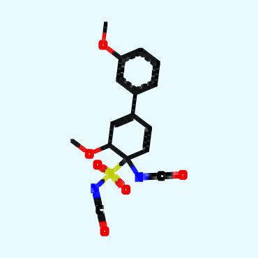 COc1cccc(C2=CC(OC)C(N=C=O)(S(=O)(=O)N=C=O)C=C2)c1